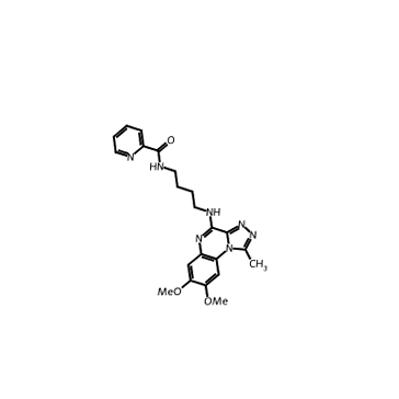 COc1cc2nc(NCCCCNC(=O)c3ccccn3)c3nnc(C)n3c2cc1OC